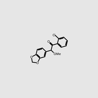 COC(C(=O)c1ccccc1Cl)c1ccc2c(c1)OCO2